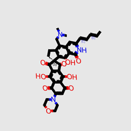 C/C=C/C=C/c1cc2c(CN(C)C)c3c(c(O)c2c(=O)[nH]1)[C@@]1(CC3)C(=O)c2c(O)c3c(c(O)c2C1=O)C(=O)C(N1CCOCC1)=CC3=O